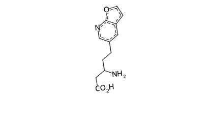 NC(CCc1cnc2occc2c1)CC(=O)O